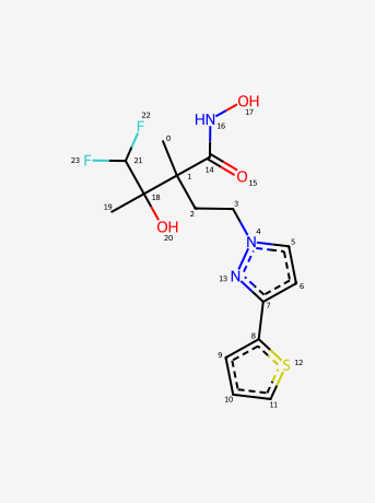 CC(CCn1ccc(-c2cccs2)n1)(C(=O)NO)C(C)(O)C(F)F